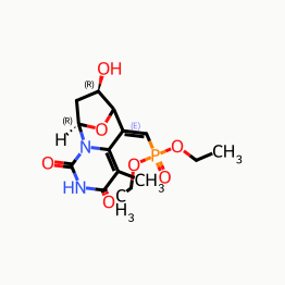 CCOP(=O)(/C=C1\c2c(C)c(=O)[nH]c(=O)n2[C@H]2C[C@@H](O)C1O2)OCC